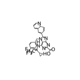 C[C@@H](Nc1nc(C(=O)O)nc2nc(-c3ccc4ncccc4c3)n(Cc3ccc(C(F)(F)F)cc3)c12)C1CC1